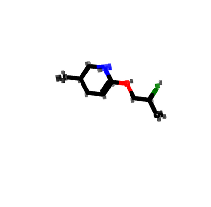 CC(F)COC1=CCC(C)CN1